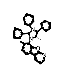 Cc1ccc2c(oc3ncccc32)c1N1C(c2ccccc2)N(c2ccccc2)C(c2ccccc2)[C@@H]1C